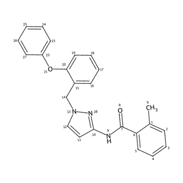 Cc1ccccc1C(=O)Nc1ccn(Cc2ccccc2Oc2ccccc2)n1